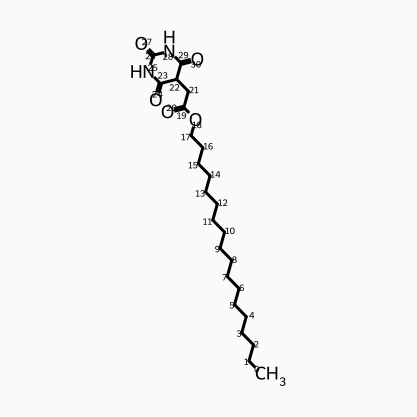 CCCCCCCCCCCCCCCCCCOC(=O)CC1C(=O)NC(=O)NC1=O